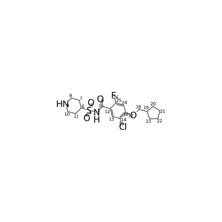 O=C(NS(=O)(=O)C1CCNCC1)c1cc(Cl)c(OCC2CCCC2)cc1F